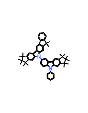 CC1(C)c2ccccc2-c2cc3c4cc5c(cc4n(-c4ccc6c(c4)c4cc7c(cc4n6-c4ccccc4)C(C)(C)C(C)(C)C7(C)C)c3cc21)C(C)(C)C(C)(C)C5(C)C